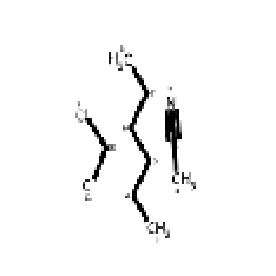 CC#N.CCCCCC.ClCCl